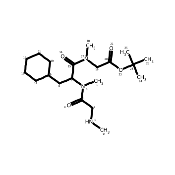 CNCC(=O)N(C)C(CC1CCCCC1)C(=O)N(C)CC(=O)OC(C)(C)C